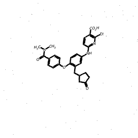 CCc1nc(Nc2ccc(Oc3ccc(C(=O)N(C)C)cc3)c(CC3CCC(=O)C3)c2)ccc1C(=O)O